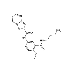 COc1ccc(NC(=O)c2cc3ncccn3n2)cc1C(=O)NCCCN